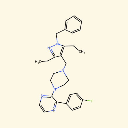 CCc1nn(Cc2ccccc2)c(CC)c1CN1CCN(c2nccnc2-c2ccc(F)cc2)CC1